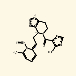 CC1=CC=C/C(=C/C[C@H]2c3nc[nH]c3CCN2C(=O)c2ocnc2C)N1N=S